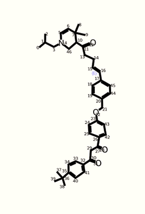 CC(C)CN1C=CC(C)(C)C(C(=O)CC/C=C/c2ccc(COc3ccc(C(=O)CC(=O)c4ccc(C(C)(C)C)cc4)cc3)cc2)C1